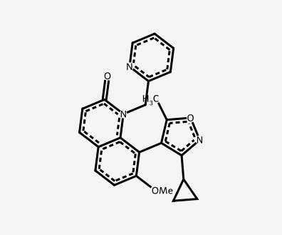 COc1ccc2ccc(=O)n(Cc3ccccn3)c2c1-c1c(C2CC2)noc1C